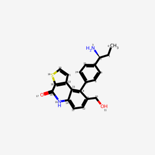 CC[C@H](N)c1ccc(-c2c(CO)ccc3[nH]c(=O)c4sccc4c23)cc1